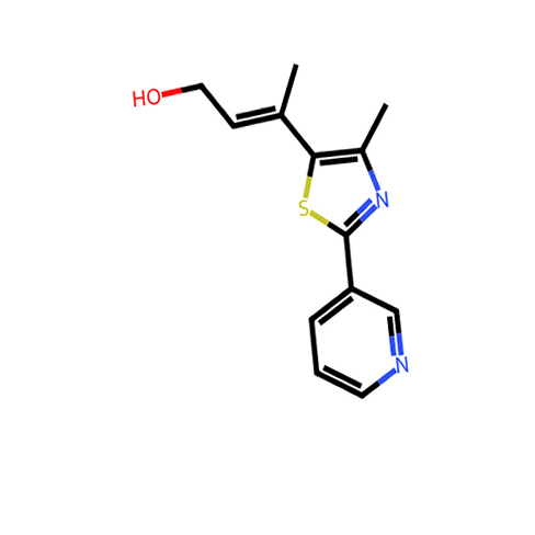 CC(=CCO)c1sc(-c2cccnc2)nc1C